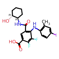 Cc1cc(I)ccc1Nc1c(C(=O)N[C@@H]2CCCC[C@H]2O)cc(C(=O)O)c(F)c1F